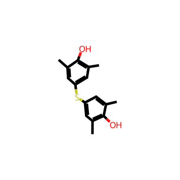 Cc1cc(Sc2cc(C)c(O)c(C)c2)cc(C)c1O